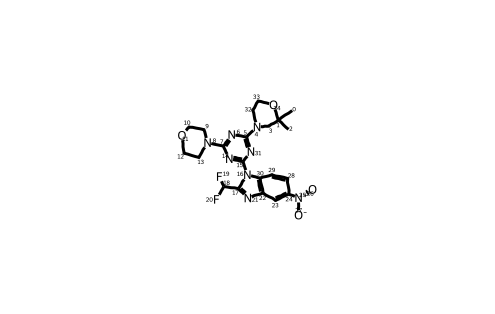 CC1(C)CN(c2nc(N3CCOCC3)nc(-n3c(C(F)F)nc4cc([N+](=O)[O-])ccc43)n2)CCO1